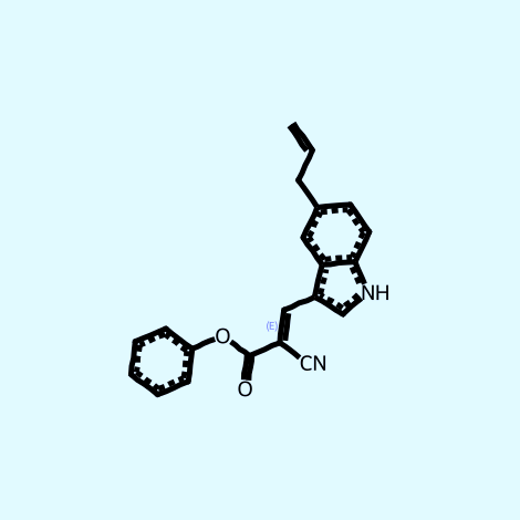 C=CCc1ccc2[nH]cc(/C=C(\C#N)C(=O)Oc3ccccc3)c2c1